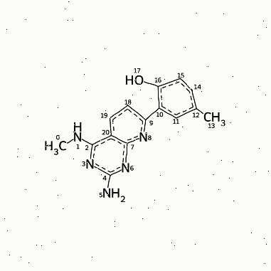 CNc1nc(N)nc2nc(-c3cc(C)ccc3O)ccc12